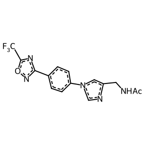 CC(=O)NCc1cn(-c2ccc(-c3noc(C(F)(F)F)n3)cc2)cn1